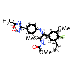 COC(=O)/N=C(\SC)C(=Nc1ccc(-c2noc(C)n2)cc1)c1cc(CC#N)c(F)c(OC)c1